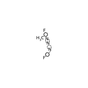 Cc1cc(F)ccc1N1CCN(C2CCN(Cc3ccc(F)cc3)CC2)CC1